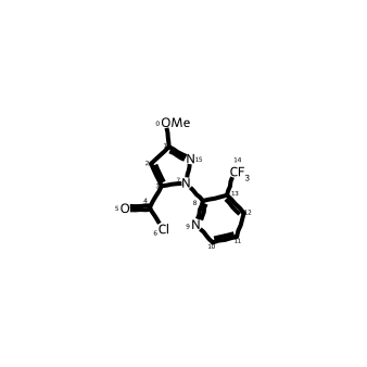 COc1cc(C(=O)Cl)n(-c2ncccc2C(F)(F)F)n1